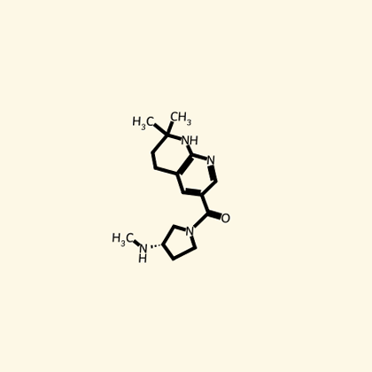 CN[C@H]1CCN(C(=O)c2cnc3c(c2)CCC(C)(C)N3)C1